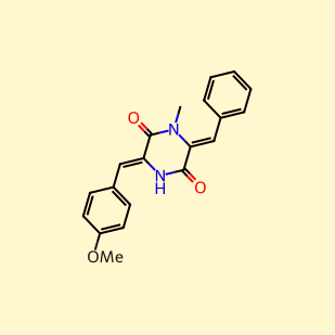 COc1ccc(C=c2[nH]c(=O)c(=Cc3ccccc3)n(C)c2=O)cc1